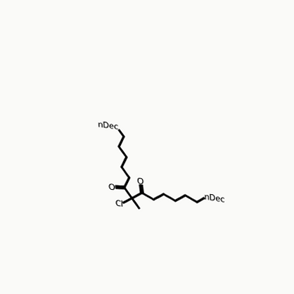 CCCCCCCCCCCCCCCC(=O)C(C)(Cl)C(=O)CCCCCCCCCCCCCCC